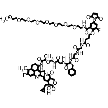 COCCOCCOCCOCCOCCOCCOCCOCCNC(=O)c1cc(N2C(=O)C=CC2=O)cc(F)c1OCCCC(=O)NCC(=O)NCC(=O)N[C@@H](Cc1ccccc1)C(=O)NCC(=O)NCO[C@@H](C)C(=O)N[C@H]1CCc2c(C)c(F)cc3nc4c(c1c23)Cn1c-4cc2c(c1=O)COC(=O)[C@]2(O)CC1CC1